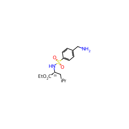 CCOC(=O)[C@H](CC(C)C)NS(=O)(=O)c1ccc(CN)cc1